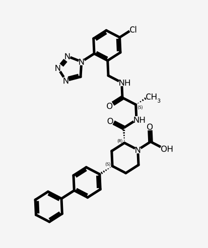 C[C@H](NC(=O)[C@H]1C[C@@H](c2ccc(-c3ccccc3)cc2)CCN1C(=O)O)C(=O)NCc1cc(Cl)ccc1-n1cnnn1